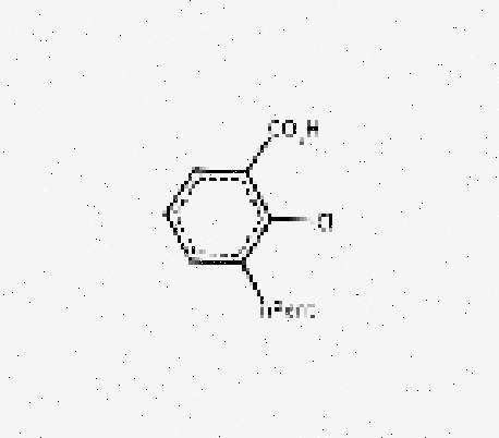 CCCCCc1cccc(C(=O)O)c1Cl